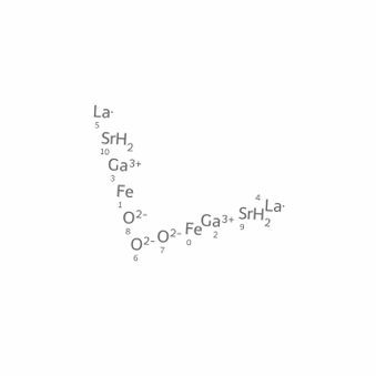 [Fe].[Fe].[Ga+3].[Ga+3].[La].[La].[O-2].[O-2].[O-2].[SrH2].[SrH2]